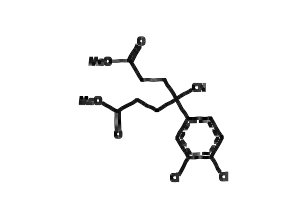 COC(=O)CCC(C#N)(CCC(=O)OC)c1ccc(Cl)c(Cl)c1